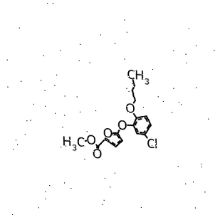 CCCCOc1ccc(Cl)cc1Oc1ccc(C(=O)OC)o1